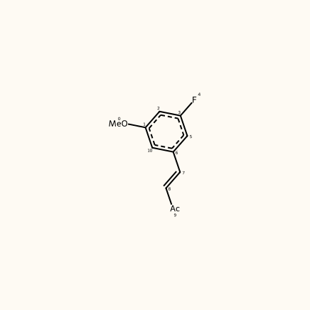 COc1cc(F)cc(C=CC(C)=O)c1